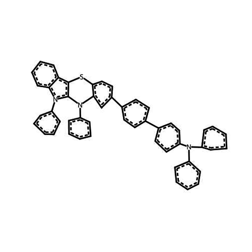 c1ccc(N(c2ccccc2)c2ccc(-c3ccc(-c4ccc5c(c4)N(c4ccccc4)c4c(c6ccccc6n4-c4ccccc4)S5)cc3)cc2)cc1